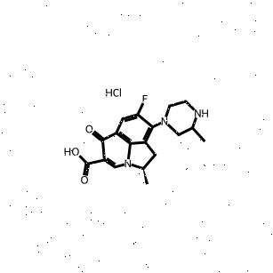 CC1CN(c2c(F)cc3c(=O)c(C(=O)O)cn4c3c2C[C@H]4C)CCN1.Cl